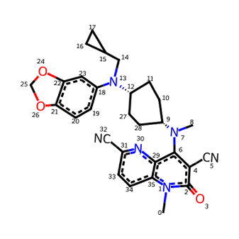 Cn1c(=O)c(C#N)c(N(C)[C@H]2CC[C@@H](N(CC3CC3)c3ccc4c(c3)OCO4)CC2)c2nc(C#N)ccc21